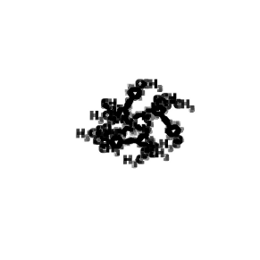 CCOP(C)(=O)c1cc(C#Cc2ccc(OC)cc2)cc(CN2CCN(Cc3cc(C#Cc4ccc(OC)cc4)cc(P(C)(=O)OCC)n3)C[C@H](CCCCNC(=O)OC(C)(C)C)N(Cc3cc(C#Cc4ccc(OC)cc4)cc(P(C)(=O)OCC)n3)CC2)n1